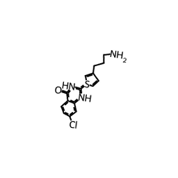 NCCCC1=CS(=c2[nH]c(=O)c3ccc(Cl)cc3[nH]2)C=C1